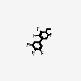 C=Cc1c(F)cc(-c2cc(F)c(F)c(F)c2)c(F)c1F